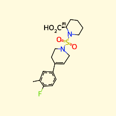 Cc1cc(C2=CCN(S(=O)(=O)N3CCCC[C@@H]3C(=O)O)CC2)ccc1F